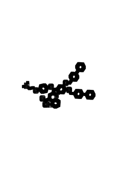 CN(C)CCOc1ccc(Oc2c(/C=C(/C(=O)O)c3ccccc3)sc3cc(OCc4ccc(-c5ccccc5)cc4)c(OCc4ccc(-c5ccccc5)cc4)cc23)cc1